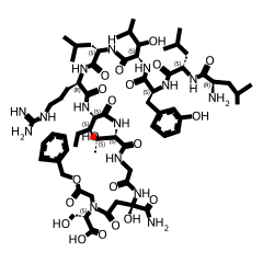 CC[C@H](C)[C@H](NC(=O)[C@@H](CCCNC(=N)N)NC(=O)[C@H](CC(C)C)NC(=O)[C@@H](NC(=O)[C@H](Cc1cccc(O)c1)NC(=O)[C@H](CC(C)C)NC(=O)[C@H](N)CC(C)C)C(O)C(C)C)C(=O)N[C@H](C(=O)NCC(=O)N[C@@](O)(CC(=O)N(CC(=O)OCc1ccccc1)[C@@H](CO)C(=O)O)C(N)=O)[C@H](C)O